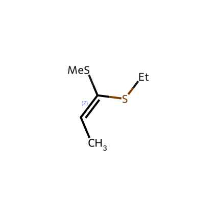 C/C=C(/SC)SCC